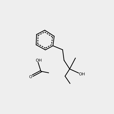 CC(=O)O.CCC(C)(O)CCc1ccccc1